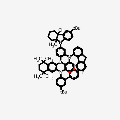 Cc1cc2c3c(c1)N(c1cccc4c1-c1ccccc1C4)c1cc(N4c5ccc(C(C)(C)C)cc5C5(C)CCCCC45C)ccc1B3c1cc3c(cc1N2c1ccc(C(C)(C)C)cc1-c1ccccc1)C(C)(C)CCC3(C)C